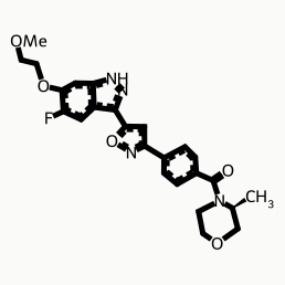 COCCOc1cc2[nH]nc(-c3cc(-c4ccc(C(=O)N5CCOC[C@@H]5C)cc4)no3)c2cc1F